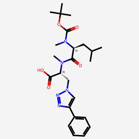 CC(C)C[C@@H](C(=O)N(C)[C@H](Cn1cc(-c2ccccc2)nn1)C(=O)O)N(C)C(=O)OC(C)(C)C